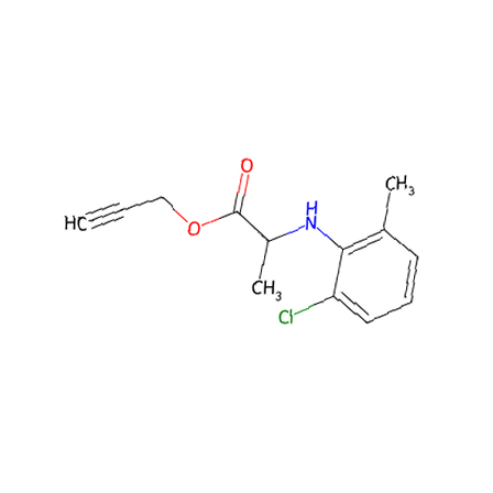 C#CCOC(=O)C(C)Nc1c(C)cccc1Cl